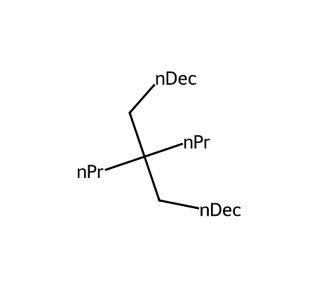 CCCCCCCCCCCC(CCC)(CCC)CCCCCCCCCCC